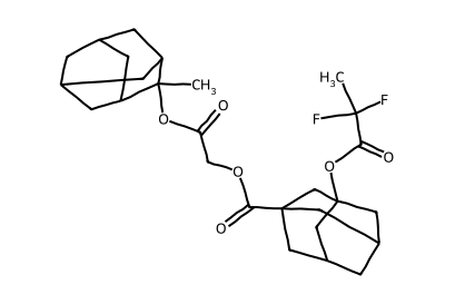 CC(F)(F)C(=O)OC12CC3CC(C1)CC(C(=O)OCC(=O)OC1(C)C4CC5CC(C4)CC1C5)(C3)C2